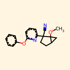 COC12CC1CCC2(C#N)c1cccc(Oc2ccccc2)n1